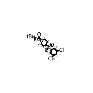 CC(C)(C)OC(=O)N1CCC(S(=O)(=O)c2cc(Cl)cc(Cl)c2)CC1